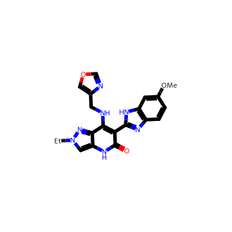 CCn1cc2[nH]c(=O)c(-c3nc4ccc(OC)cc4[nH]3)c(NCc3cocn3)c2n1